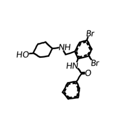 O=C(Nc1c(Br)cc(Br)cc1CNC1CCC(O)CC1)c1ccccc1